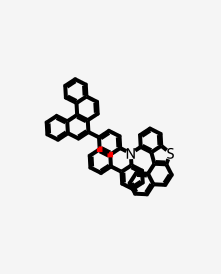 c1ccc(-c2ccccc2N(c2ccc(-c3cc4ccccc4c4c3ccc3ccccc34)cc2)c2cccc3sc4ccc5ccccc5c4c23)cc1